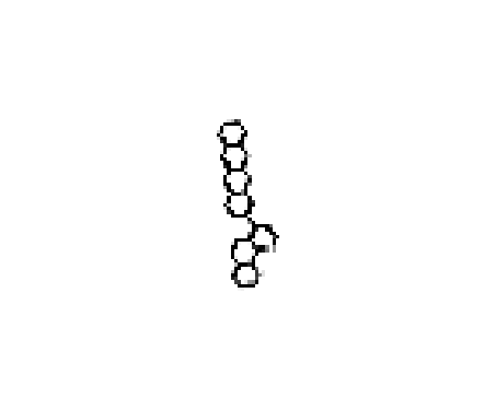 c1ccc2cc3cc4cc(-c5ccnc6c5ccc5cccnc56)ccc4cc3cc2c1